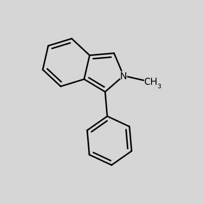 Cn1cc2ccccc2c1-c1ccccc1